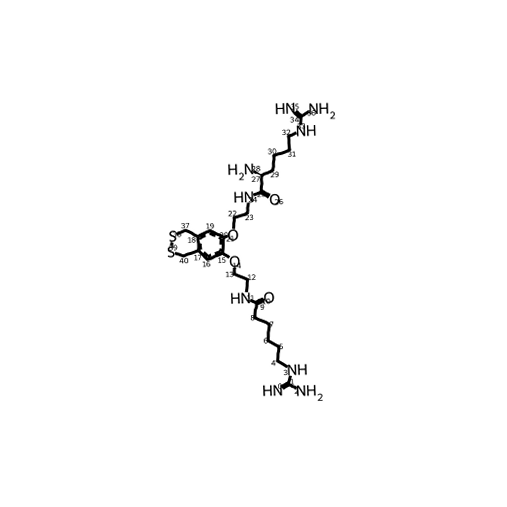 N=C(N)NCCCCCC(=O)NCCOc1cc2c(cc1OCCNC(=O)[C@@H](N)CCCCNC(=N)N)CSSC2